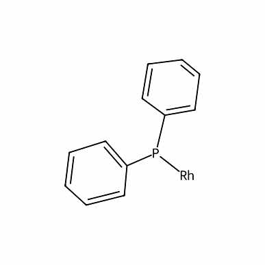 [Rh][P](c1ccccc1)c1ccccc1